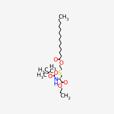 C=CCOC(=O)[C@H](CSCCOC(=O)CCCCCCCCCCCCC)NC(=O)OC(C)(C)C